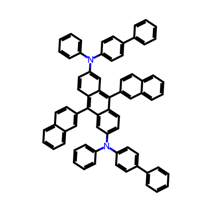 c1ccc(-c2ccc(N(c3ccccc3)c3ccc4c(-c5ccc6ccccc6c5)c5cc(N(c6ccccc6)c6ccc(-c7ccccc7)cc6)ccc5c(-c5ccc6ccccc6c5)c4c3)cc2)cc1